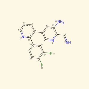 N=Cc1ncc(-c2cccnc2-c2ccc(F)c(F)c2)cc1N